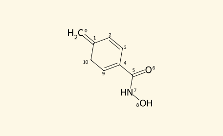 C=C1C=CC(C(=O)NO)=CC1